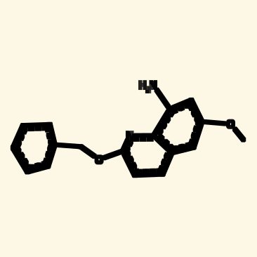 COc1cc(N)c2nc(OCc3ccccc3)ccc2c1